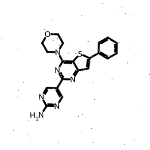 Nc1ncc(-c2nc(N3CCOCC3)c3sc(-c4cc[c]cc4)cc3n2)cn1